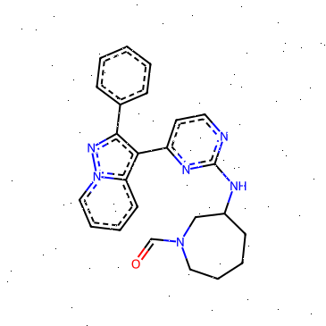 O=CN1CCCCC(Nc2nccc(-c3c(-c4ccccc4)nn4ccccc34)n2)C1